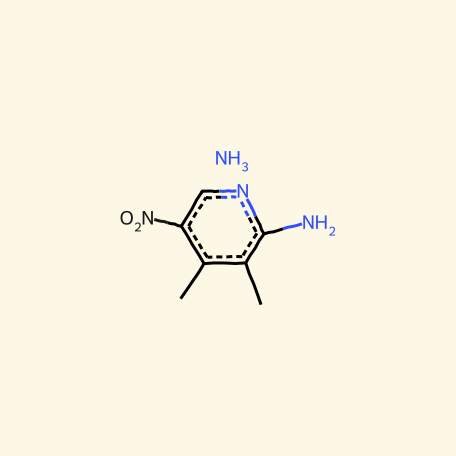 Cc1c([N+](=O)[O-])cnc(N)c1C.N